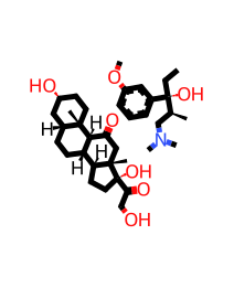 CC[C@](O)(c1cccc(OC)c1)[C@@H](C)CN(C)C.C[C@]12CC[C@@H](O)C[C@H]1CC[C@@H]1[C@@H]2C(=O)C[C@@]2(C)[C@H]1CC[C@]2(O)C(=O)CO